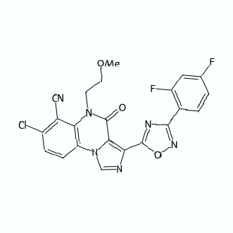 COCCn1c(=O)c2c(-c3nc(-c4ccc(F)cc4F)no3)ncn2c2ccc(Cl)c(C#N)c21